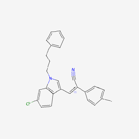 Cc1ccc(/C(C#N)=C/c2cn(CCCc3ccccc3)c3cc(Cl)ccc23)cc1